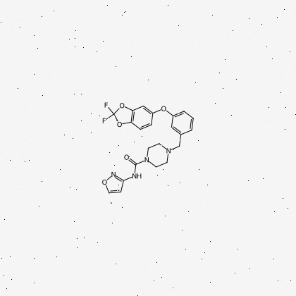 O=C(Nc1ccon1)N1CCN(Cc2cccc(Oc3ccc4c(c3)OC(F)(F)O4)c2)CC1